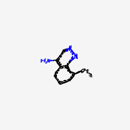 Cc1cccc2c(N)cnnc12